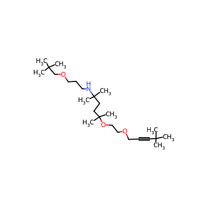 CC(C)(C)C#CCOCCOC(C)(C)CCC(C)(C)NCCCOCC(C)(C)C